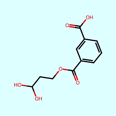 O=C(O)c1cccc(C(=O)OCCC(O)O)c1